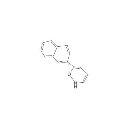 C1=CNOC(c2ccc3ccccc3c2)=C1